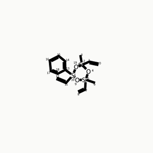 C=C[Si]1(C)O[Si](C)(C=C)O[Si](C=C)(c2ccccc2)O1